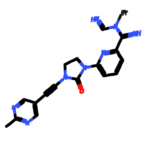 Cc1ncc(C#CN2CCN(c3cccc(C(=N)N(C=N)C(C)C)n3)C2=O)cn1